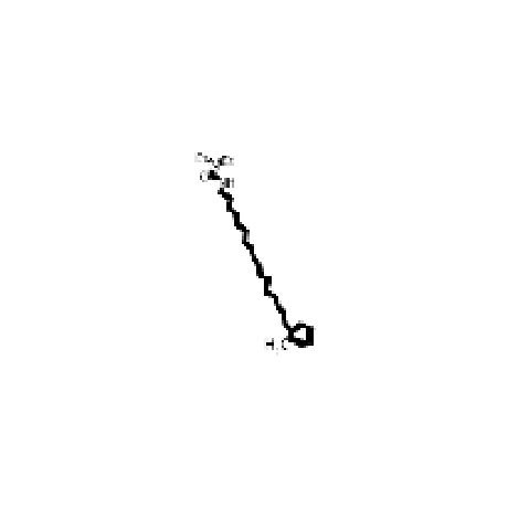 CCN(CC)C(=O)NCCCCCCCCCCCCCCCCCc1ccccc1C